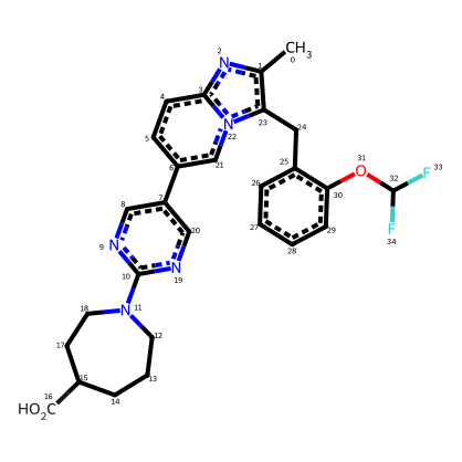 Cc1nc2ccc(-c3cnc(N4CCCC(C(=O)O)CC4)nc3)cn2c1Cc1ccccc1OC(F)F